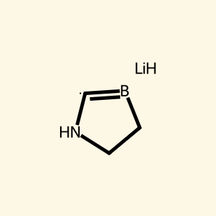 B1=[C]NCC1.[LiH]